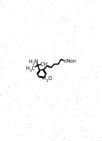 CCCCCCCCCCCCCCc1ccccc1C(C)(C)N.O